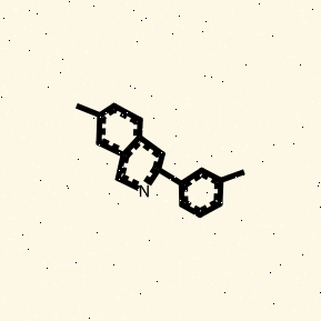 Cc1cccc(-c2cc3ccc(C)cc3cn2)c1